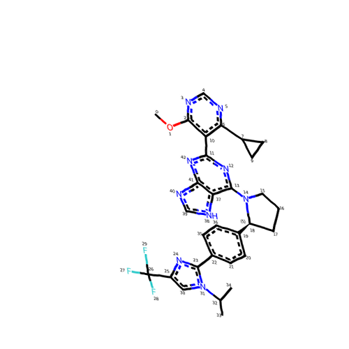 COc1ncnc(C2CC2)c1-c1nc(N2CCC[C@H]2c2ccc(-c3nc(C(F)(F)F)cn3C(C)C)cc2)c2[nH]cnc2n1